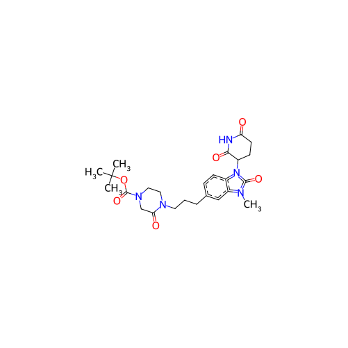 Cn1c(=O)n(C2CCC(=O)NC2=O)c2ccc(CCCN3CCN(C(=O)OC(C)(C)C)CC3=O)cc21